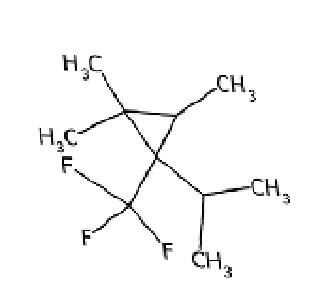 CC(C)C1(C(F)(F)F)C(C)C1(C)C